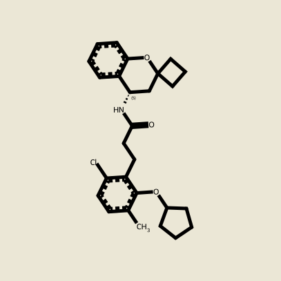 Cc1ccc(Cl)c(CCC(=O)N[C@H]2CC3(CCC3)Oc3ccccc32)c1OC1CCCC1